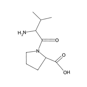 CC(C)C(N)C(=O)N1CCCC1C(=O)O